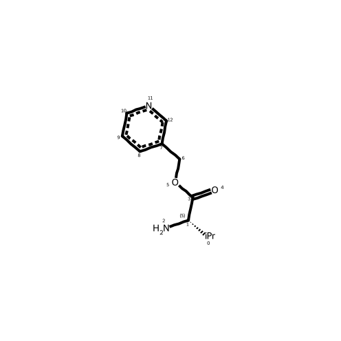 CC(C)[C@H](N)C(=O)OCc1cccnc1